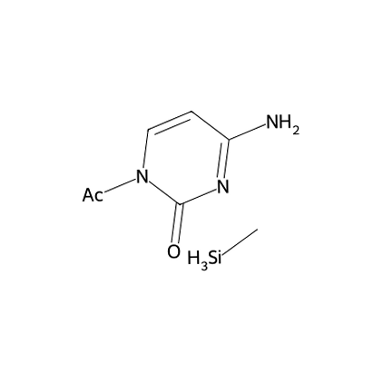 CC(=O)n1ccc(N)nc1=O.C[SiH3]